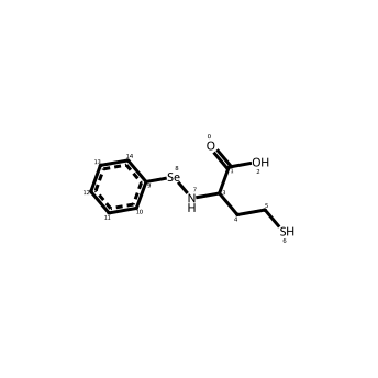 O=C(O)C(CCS)N[Se]c1ccccc1